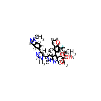 Cc1nc2c(cc(-c3cc(-c4ccc5c(cnn5C)c4)ncn3)n2C)c(-c2cc(F)c3c(c2C)CCCO3)c1[C@H](OC(C)(C)C)C(=O)O